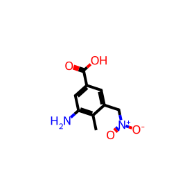 Cc1c(N)cc(C(=O)O)cc1C[N+](=O)[O-]